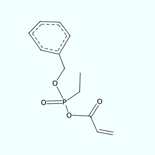 C=CC(=O)OP(=O)(CC)OCc1ccccc1